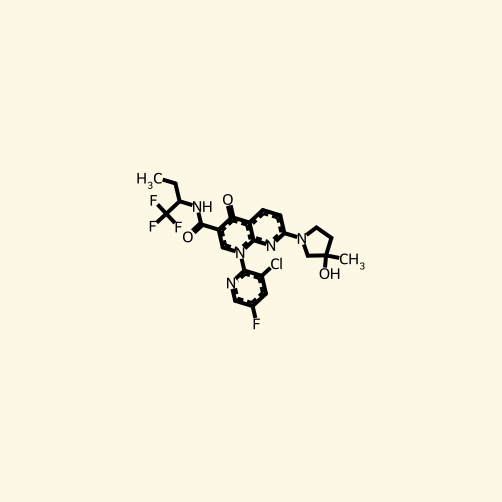 CCC(NC(=O)c1cn(-c2ncc(F)cc2Cl)c2nc(N3CCC(C)(O)C3)ccc2c1=O)C(F)(F)F